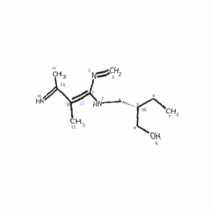 C=N/C(NC[C@H](CC)CO)=C(/C)C(C)=N